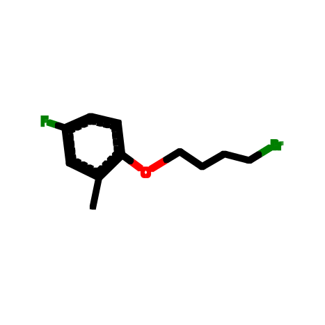 Cc1cc(F)ccc1OCCCCBr